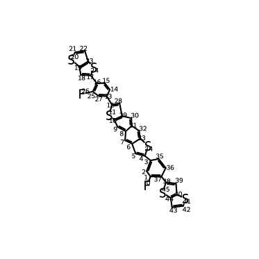 Fc1cc(-c2cc3cc4cc5sc(-c6ccc(-c7cc8sccc8s7)c(F)c6)cc5cc4cc3s2)ccc1-c1cc2sccc2s1